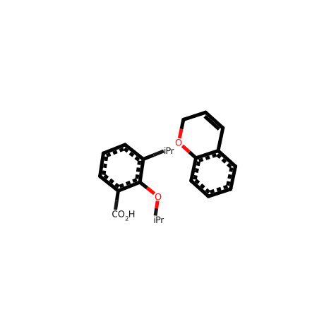 C1=Cc2ccccc2OC1.CC(C)Oc1c(C(=O)O)cccc1C(C)C